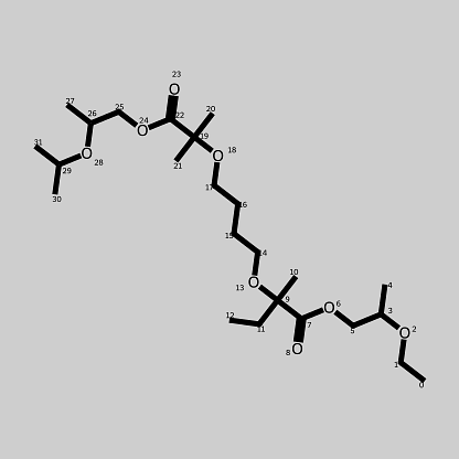 CCOC(C)COC(=O)C(C)(CC)OCCCCOC(C)(C)C(=O)OCC(C)OC(C)C